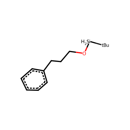 CC(C)(C)[SiH2]OCCCc1ccccc1